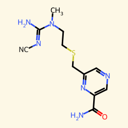 CN(CCSCc1cncc(C(N)=O)n1)C(N)=NC#N